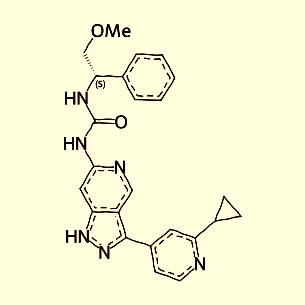 COC[C@@H](NC(=O)Nc1cc2[nH]nc(-c3ccnc(C4CC4)c3)c2cn1)c1ccccc1